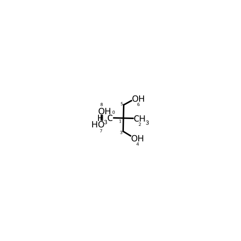 CC(C)(CO)CO.OO